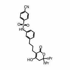 CCCC1(CCC)CC(O)=C(CCCc2cccc(NS(=O)(=O)c3ccc(C#N)cc3)c2)C(=O)O1